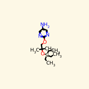 CC[Si](CC)(CC)OC(C)(C)COc1ncc(N)cn1